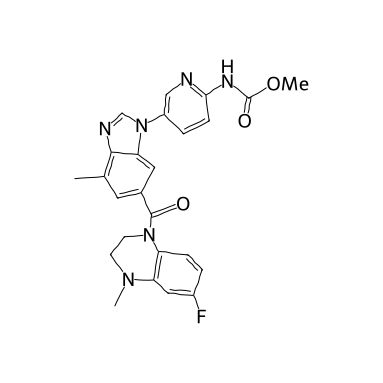 COC(=O)Nc1ccc(-n2cnc3c(C)cc(C(=O)N4CCN(C)c5cc(F)ccc54)cc32)cn1